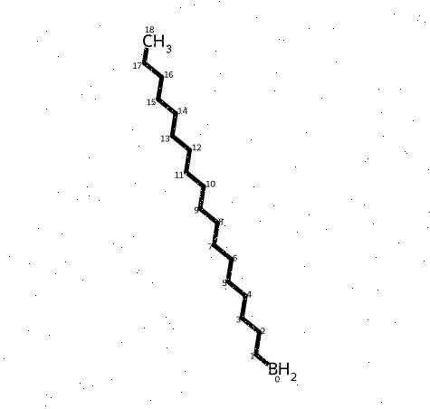 BCCCCCCCCCCCCCCCCCC